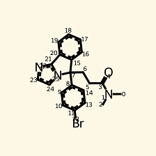 CN(C)C(=O)CCC1(c2ccc(Br)cc2)c2ccccc2-c2nccn21